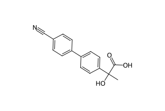 CC(O)(C(=O)O)c1ccc(-c2ccc(C#N)cc2)cc1